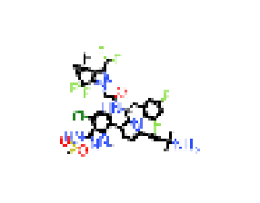 Cn1nc(NS(C)(=O)=O)c2c(Cl)ccc(-c3ccc(C#CC(C)(C)N)nc3[C@H](Cc3cc(F)cc(F)c3)NC(=O)Cn3nc(C(F)F)c4c3C(F)(F)C3C[C@H]43)c21